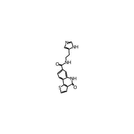 O=C(NCCc1cnc[nH]1)c1ccc2c(c1)[nH]c(=O)c1ccsc12